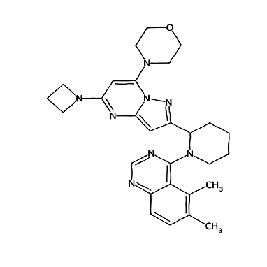 Cc1ccc2ncnc(N3CCCCC3c3cc4nc(N5CCC5)cc(N5CCOCC5)n4n3)c2c1C